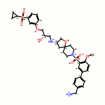 CCOc1ccc(-c2ccc(CN)cc2)cc1S(=O)(=O)N1CCC2(CC1)C[C@H](NC[C@H](O)COc1cccc(S(=O)(=O)C3CC3)c1)CO2